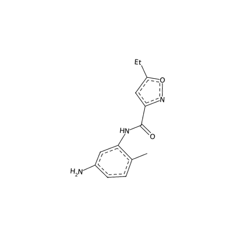 CCc1cc(C(=O)Nc2cc(N)ccc2C)no1